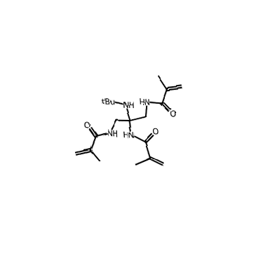 C=C(C)C(=O)NCC(CNC(=O)C(=C)C)(NC(=O)C(=C)C)NC(C)(C)C